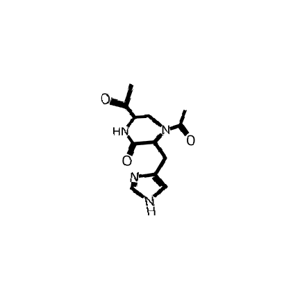 CC(=O)C1CN(C(C)=O)C(Cc2c[nH]cn2)C(=O)N1